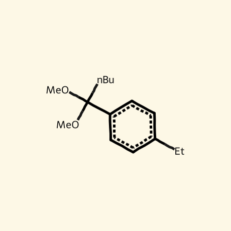 CCCCC(OC)(OC)c1ccc(CC)cc1